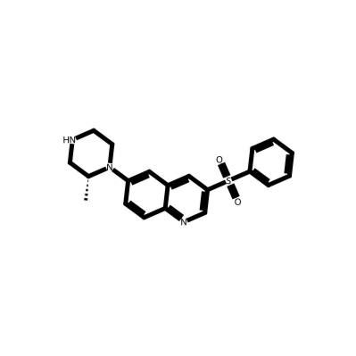 C[C@@H]1CNCCN1c1ccc2ncc(S(=O)(=O)c3ccccc3)cc2c1